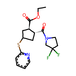 CCOC(=O)[C@@H]1CC(Sc2ccccn2)C[C@H]1C(=O)N1CCC(F)(F)C1